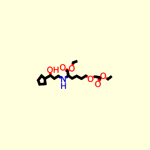 CCOC(=O)COCCCCC(NCCC(O)C1CCCC1)C(=O)OCC